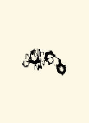 O=c1nc[nH]c2c1ncn2[C@H]1CC[C@@H](Cc2[c]cccc2)O1